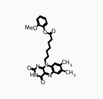 COc1ccccc1OC(=O)CCCCCCn1c2nc(=O)[nH]c(=O)c-2nc2cc(C)c(C)cc21